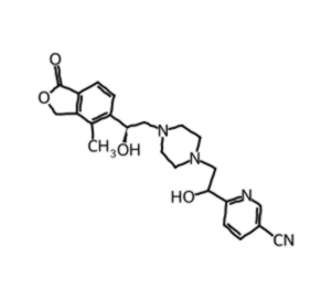 Cc1c([C@H](O)CN2CCN(CC(O)c3ccc(C#N)cn3)CC2)ccc2c1COC2=O